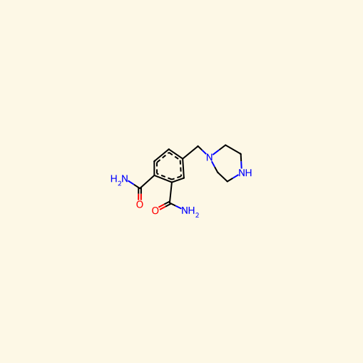 NC(=O)c1ccc(CN2CCNCC2)cc1C(N)=O